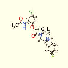 CC(=O)Nc1cc(Cl)ccc1OCC(=O)N1CCN(Cc2ccc(F)cc2)CC1C